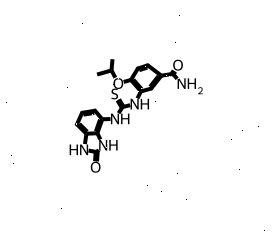 CC(C)Oc1ccc(C(N)=O)cc1NC(=S)Nc1cccc2[nH]c(=O)[nH]c12